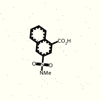 CNS(=O)(=O)c1cc(C(=O)O)c2ccccc2c1